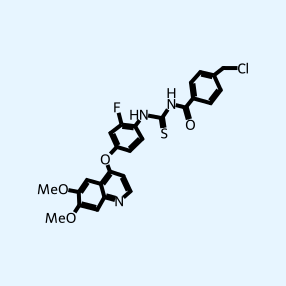 COc1cc2nccc(Oc3ccc(NC(=S)NC(=O)c4ccc(CCl)cc4)c(F)c3)c2cc1OC